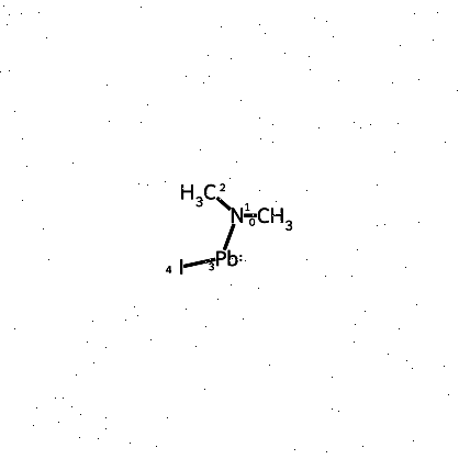 C[N](C)[Pb][I]